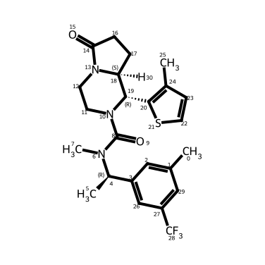 Cc1cc([C@@H](C)N(C)C(=O)N2CCN3C(=O)CC[C@H]3[C@@H]2c2sccc2C)cc(C(F)(F)F)c1